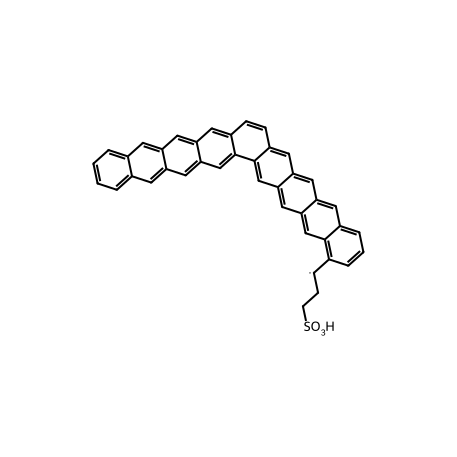 O=S(=O)(O)CC[CH]c1cccc2cc3cc4cc5ccc6cc7cc8cc9ccccc9cc8cc7cc6c5cc4cc3cc12